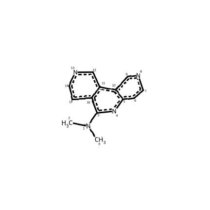 CN(C)c1nc2ccncc2c2cnccc12